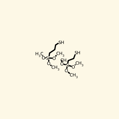 CO[Si](CCCS)(OC)OC.CO[Si](CCS)(OC)OC